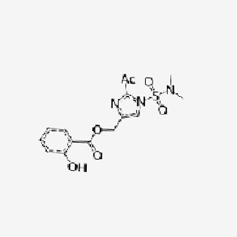 CC(=O)c1nc(COC(=O)c2ccccc2O)cn1S(=O)(=O)N(C)C